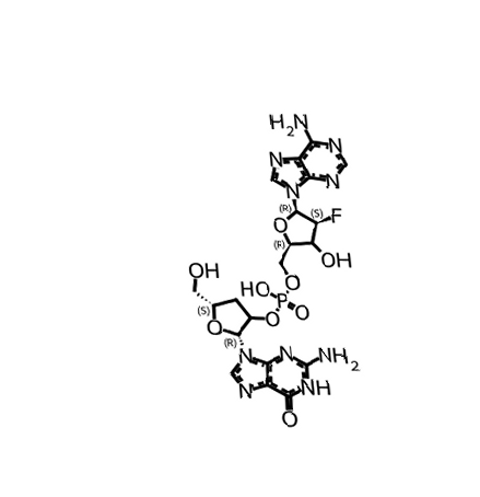 Nc1nc2c(ncn2[C@@H]2O[C@H](CO)CC2OP(=O)(O)OC[C@H]2O[C@@H](n3cnc4c(N)ncnc43)[C@@H](F)C2O)c(=O)[nH]1